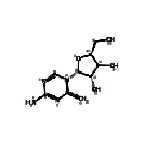 C=C1N=C(N)N=CN1[C@@H]1O[C@@H](CO)C(O)[C@@H]1O